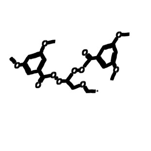 [CH2]COC[C](OOC(=O)c1cc(OC)cc(OC)c1)OOC(=O)c1cc(OC)cc(OC)c1